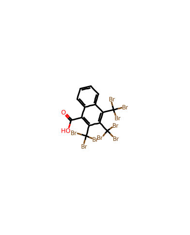 O=C(O)c1c(C(Br)(Br)Br)c(C(Br)(Br)Br)c(C(Br)(Br)Br)c2ccccc12